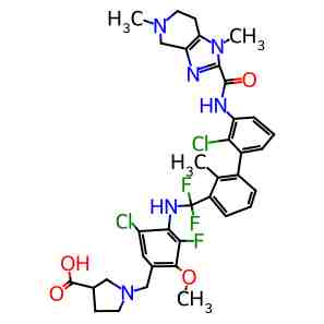 COc1c(CN2CCC(C(=O)O)C2)cc(Cl)c(NC(F)(F)c2cccc(-c3cccc(NC(=O)c4nc5c(n4C)CCN(C)C5)c3Cl)c2C)c1F